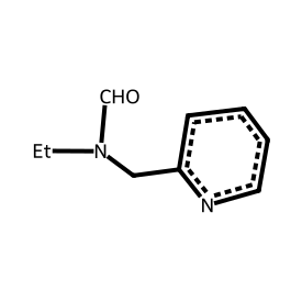 CCN(C=O)Cc1ccccn1